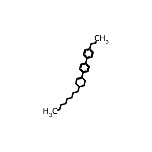 CCCCCCCCC1CC=C(c2ccc(-c3ccc(CCC)cc3)cc2)CC1